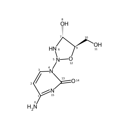 Nc1ccn(N2N[C@H](O)[C@@H](CO)O2)c(=O)n1